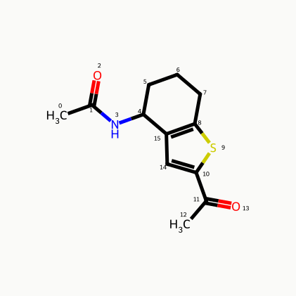 CC(=O)NC1CCCc2sc(C(C)=O)cc21